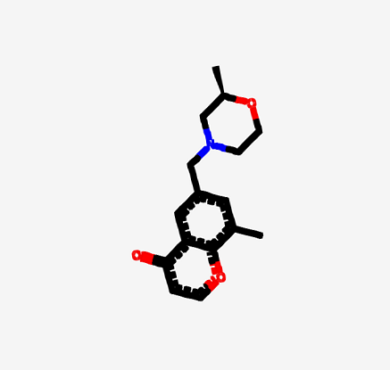 Cc1cc(CN2CCO[C@H](C)C2)cc2c(=O)ccoc12